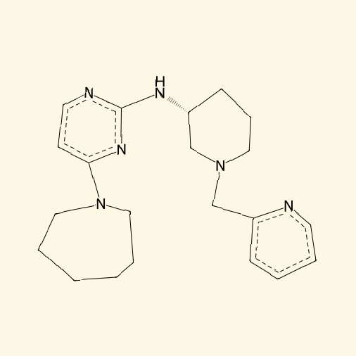 c1ccc(CN2CCC[C@@H](Nc3nccc(N4CCCCCC4)n3)C2)nc1